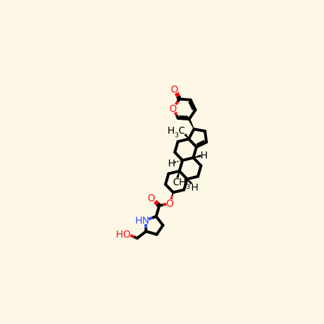 C[C@]12CC[C@H](OC(=O)C3CCC(CO)N3)C[C@H]1CC[C@H]1C3=CC[C@H](c4ccc(=O)oc4)[C@@]3(C)CC[C@@H]12